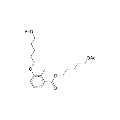 CC(=O)OCCCCCOC(=O)c1cccc(OCCCCCOC(C)=O)c1C